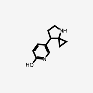 Oc1ccc(C2CCNC23CC3)cn1